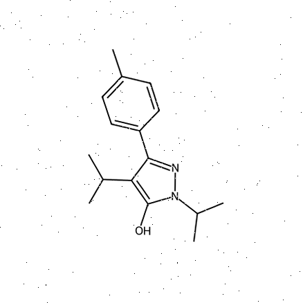 Cc1ccc(-c2nn(C(C)C)c(O)c2C(C)C)cc1